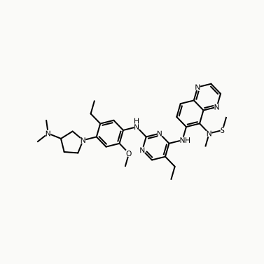 CCc1cc(Nc2ncc(CC)c(Nc3ccc4nccnc4c3N(C)SC)n2)c(OC)cc1N1CCC(N(C)C)C1